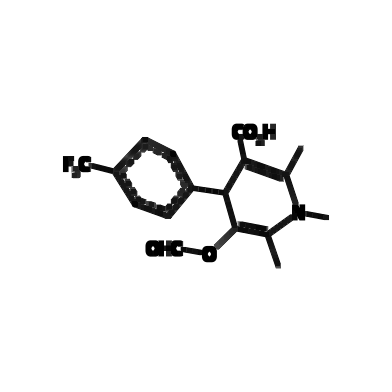 CC1=C(OC=O)C(c2ccc(C(F)(F)F)cc2)C(C(=O)O)=C(C)N1C